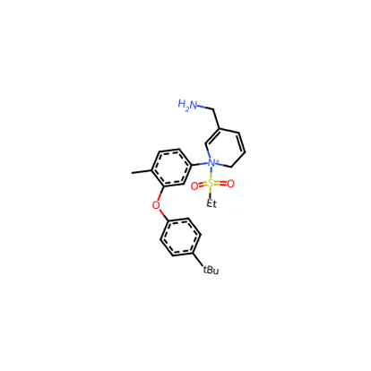 CCS(=O)(=O)[N+]1(c2ccc(C)c(Oc3ccc(C(C)(C)C)cc3)c2)C=C(CN)C=CC1